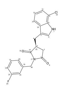 O=C1C[C@H](Cc2c[nH]c3c(Cl)cccc23)C(=O)N1Cc1cccc(F)c1